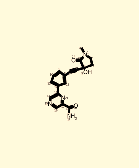 CN1CC[C@@](O)(C#Cc2cccc(-c3cncc(C(N)=O)n3)c2)C1=O